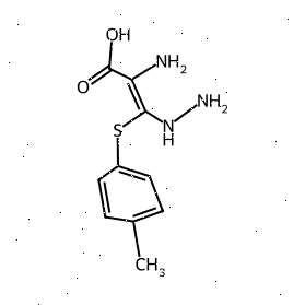 Cc1ccc(S/C(NN)=C(/N)C(=O)O)cc1